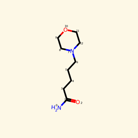 NC(=O)CCCCN1CCOCC1